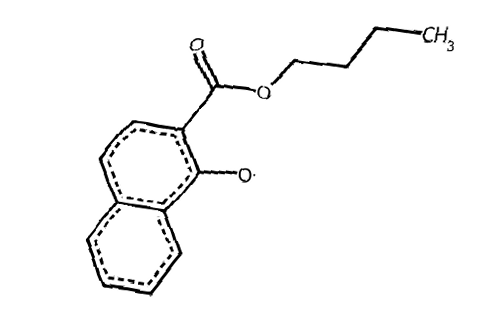 CCCCOC(=O)c1ccc2ccccc2c1[O]